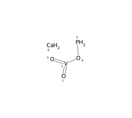 [CaH2].[O]=[V](=[O])[O]P